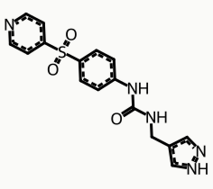 O=C(NCc1cn[nH]c1)Nc1ccc(S(=O)(=O)c2ccncc2)cc1